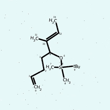 C=CCCC(O[Si](C)(C)C(C)(C)C)/C(C)=C/C